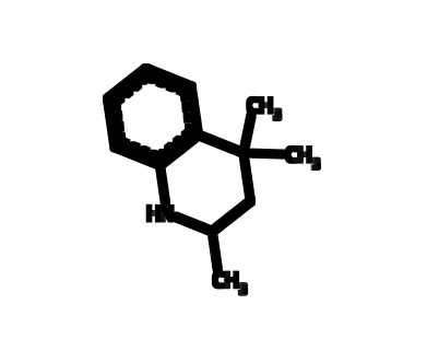 CC1CC(C)(C)c2ccccc2N1